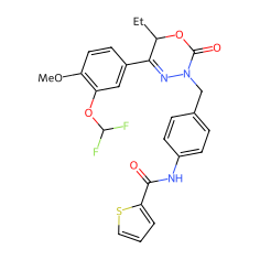 CCC1OC(=O)N(Cc2ccc(NC(=O)c3cccs3)cc2)N=C1c1ccc(OC)c(OC(F)F)c1